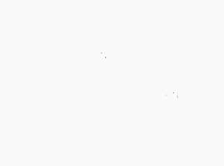 C=CCOc1cc(N2C(=O)C3=C(CCCC3)C2=O)c(F)cc1C#N